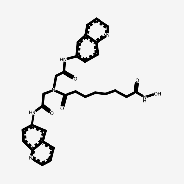 O=C(CCCCCCC(=O)N(CC(=O)Nc1ccc2ncccc2c1)CC(=O)Nc1ccc2ncccc2c1)NO